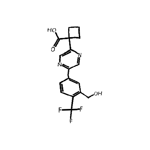 O=C(O)C1(c2cnc(-c3ccc(C(F)(F)F)c(CO)c3)cn2)CCC1